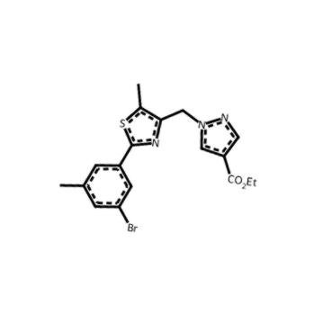 CCOC(=O)c1cnn(Cc2nc(-c3cc(C)cc(Br)c3)sc2C)c1